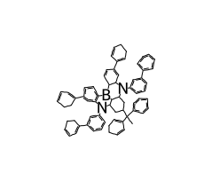 CC(C1=CCCC=C1)(c1ccccc1)C1CC2C3B(c4ccc(C5=CC=CCC5)cc4N2c2cccc(C4=CC=CCC4)c2)C2C=CC(C4=CCCC=C4)=CC2N(c2cccc(-c4ccccc4)c2)C3C1